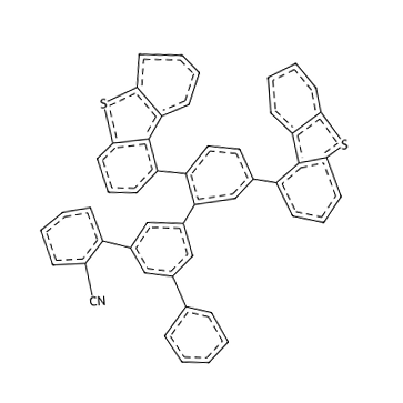 N#Cc1ccccc1-c1cc(-c2ccccc2)cc(-c2cc(-c3cccc4sc5ccccc5c34)ccc2-c2cccc3sc4ccccc4c23)c1